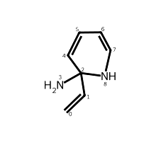 C=CC1(N)C=CC=CN1